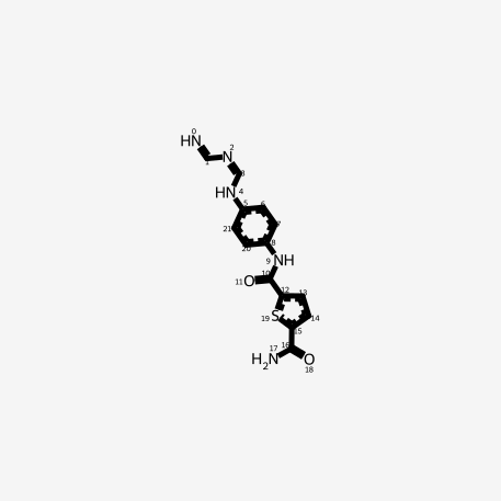 N=C/N=C\Nc1ccc(NC(=O)c2ccc(C(N)=O)s2)cc1